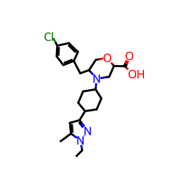 CCn1nc(C2CCC(N3CC(C(=O)O)OCC3Cc3ccc(Cl)cc3)CC2)cc1C